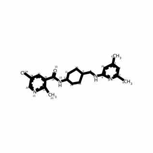 Cc1cc(C)nc(NCC2CCC(NC(=O)c3cc(Cl)cnc3C)CC2)c1